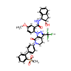 COc1ccc(-n2nc(C(F)(F)F)c3c2C(=O)N(c2ccc(-c4ccccc4S(C)(=O)=O)cc2)CC3)c(C(=O)N[C@H]2c3ccccc3C[C@H]2O)c1